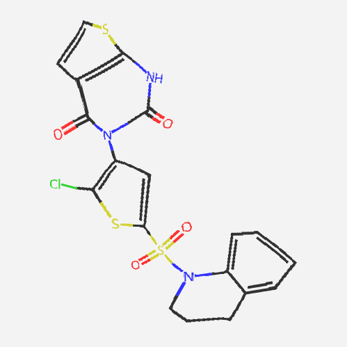 O=c1[nH]c2sccc2c(=O)n1-c1cc(S(=O)(=O)N2CCCc3ccccc32)sc1Cl